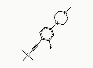 CN1CCN(c2ccc(C#C[Si](C)(C)C)c(F)c2)CC1